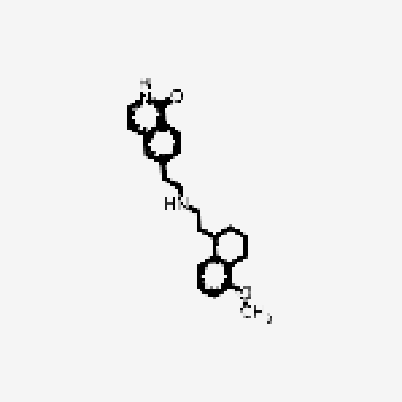 COc1cccc2c1CCCC2CCNCCc1ccc2c(=O)[nH]ccc2c1